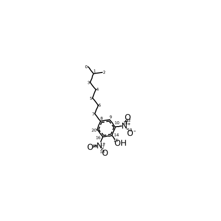 CC(C)CCCCCc1cc([N+](=O)[O-])c(O)c([N+](=O)[O-])c1